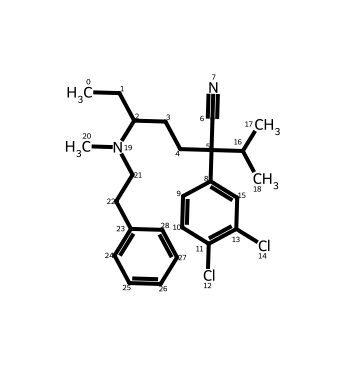 CCC(CCC(C#N)(c1ccc(Cl)c(Cl)c1)C(C)C)N(C)CCc1ccccc1